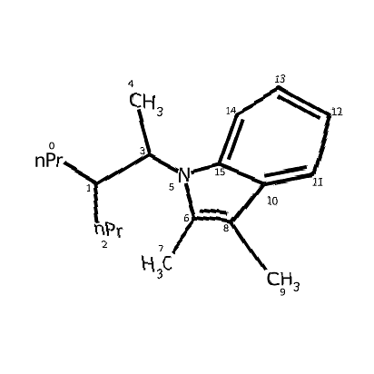 CCCC(CCC)C(C)n1c(C)c(C)c2ccccc21